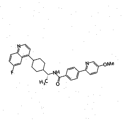 COc1ccc(-c2ccc(C(=O)N[C@H](C)C3CCC(c4ccnc5ccc(F)cc45)CC3)cc2)nc1